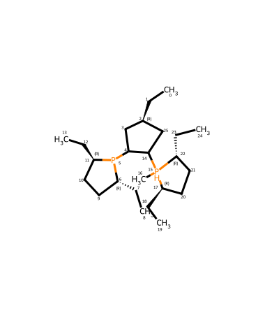 CC[C@@H]1CC(P2[C@H](CC)CC[C@H]2CC)C([PH]2(C)[C@H](CC)CC[C@H]2CC)C1